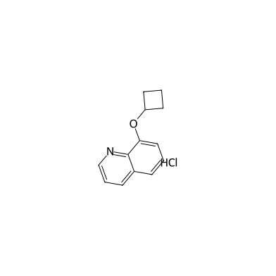 Cl.c1cnc2c(OC3CCC3)cccc2c1